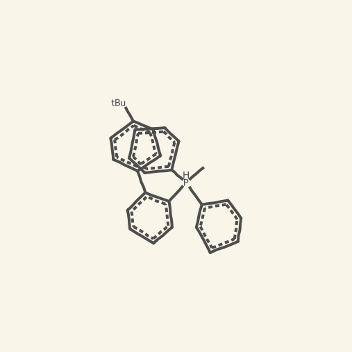 CC(C)(C)c1ccc(-c2ccccc2[PH](C)(c2ccccc2)c2ccccc2)cc1